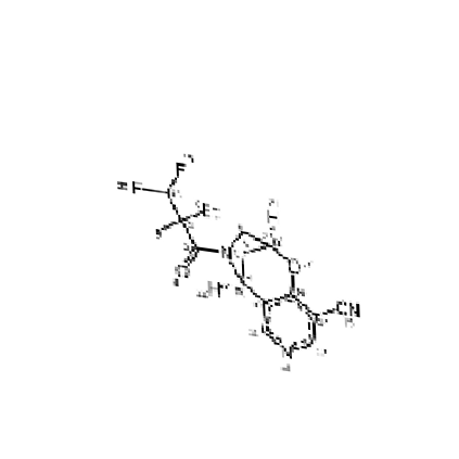 CCC(C)(C(=O)N1C[C@@H]2C[C@H]1c1cncc(C#N)c1O2)C(F)F